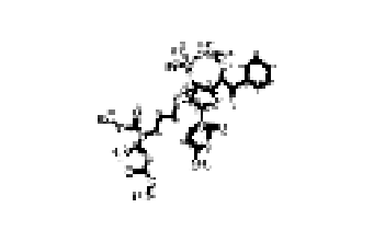 CC(C)[Si]1(C(C)C)OC(C(=O)c2ccccc2)[C@H]2O[C@@H](n3ccc(N)nc3=O)[C@H](OCCCN(C(=O)OC(C)(C)C)C(N)=NC(=O)OC(C)(C)C)[C@@H]2O[Si](C(C)C)(C(C)C)O1